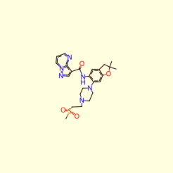 CC1(C)Cc2cc(NC(=O)c3cnn4cccnc34)c(N3CCN(CCS(C)(=O)=O)CC3)cc2O1